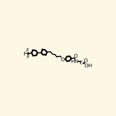 O=C(O)CCNC(=O)c1ccc(OCCCCCc2ccc(-c3ccc(C(F)(F)F)cc3)cc2)cc1